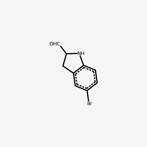 O=CC1Cc2cc(Br)ccc2N1